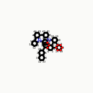 c1ccc(-c2ccccc2-c2c(-c3ccccc3)cccc2N(c2ccc(-c3ccc4ccccc4c3)cc2)c2cccc(-c3cccc4c5ccccc5n(-c5ccccc5)c34)c2)cc1